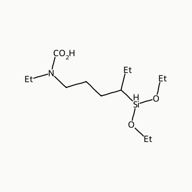 CCO[SiH](OCC)C(CC)CCCN(CC)C(=O)O